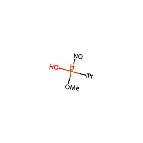 CO[PH](O)(N=O)C(C)C